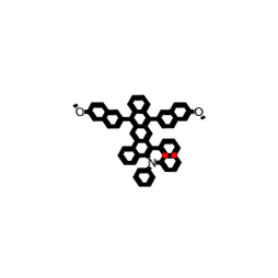 COc1ccc2cc(-c3c4ccccc4c(-c4ccc5cc(OC)ccc5c4)c4cc5c(cc34)c(-c3ccccc3)c(N(c3ccccc3)c3ccccc3)c3ccccc35)ccc2c1